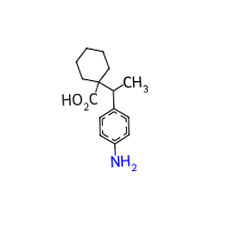 CC(c1ccc(N)cc1)C1(C(=O)O)CCCCC1